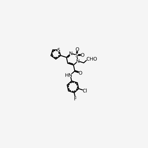 O=CCN1C(C(=O)Nc2ccc(F)c(Cl)c2)=CC(c2cccs2)=NS1(=O)=O